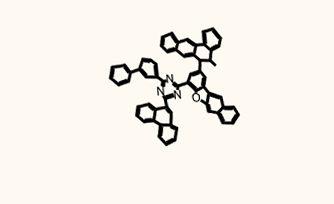 CC1c2ccccc2-c2cc3ccccc3cc2C1c1cc(-c2nc(-c3cccc(-c4ccccc4)c3)nc(-c3cc4ccccc4c4ccccc34)n2)c2oc3cc4ccccc4cc3c2c1